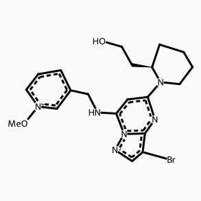 CO[n+]1cccc(CNc2cc(N3CCCC[C@@H]3CCO)nc3c(Br)cnn23)c1